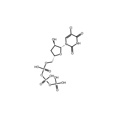 O=c1[nH]c(=O)n([C@@H]2O[C@H](COP(=O)(O)OP(=O)(O)OP(=O)(O)O)C[C@H]2O)cc1Cl